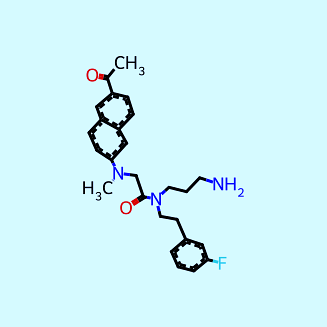 CC(=O)c1ccc2cc(N(C)CC(=O)N(CCCN)CCc3cccc(F)c3)ccc2c1